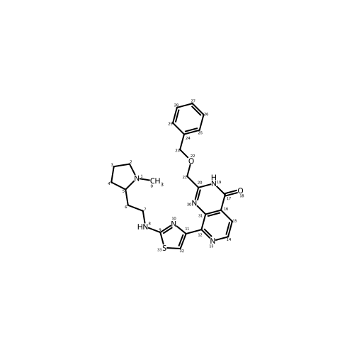 CN1CCCC1CCNc1nc(-c2nccc3c(=O)[nH]c(COCc4ccccc4)nc23)cs1